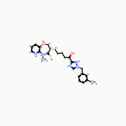 Cc1cccc(Cn2cnc(C(=O)CCCC[C@H]3COc4cccnc4N(C)C3=S)n2)c1